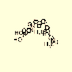 COc1cc(-c2nccc(-c3cccc(NC(=O)c4ccc(CN(CCO)C(=O)O)cn4)c3Cl)c2Cl)ccc1CNC1CCN(C(C)=O)CC1